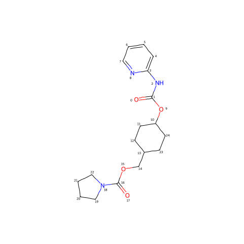 O=C(Nc1ccccn1)OC1CCC(COC(=O)N2CCCC2)CC1